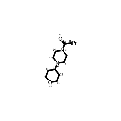 CC(C)C(=O)N1CCN(C2CCOCC2)CC1